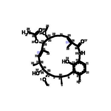 CO[C@H]1C[C@H](C)Cc2c(F)ccc(c2O)NC(=O)/C(C)=C/CC[C@H](OC)[C@@H](OC(N)=O)/C(C)=C/[C@H](C)[C@H]1O